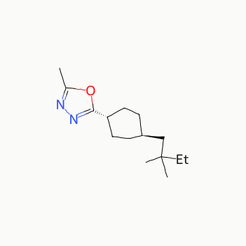 CCC(C)(C)C[C@H]1CC[C@H](c2nnc(C)o2)CC1